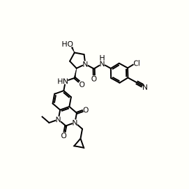 CCn1c(=O)n(CC2CC2)c(=O)c2cc(NC(=O)[C@H]3C[C@@H](O)CN3C(=O)Nc3ccc(C#N)c(Cl)c3)ccc21